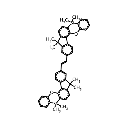 CC1(C)c2cc(/C=C/c3ccc4c(c3)C(C)(C)c3ccc5c(c3-4)Oc3ccccc3[Si]5(C)C)ccc2-c2c1ccc1c2Oc2ccccc2[Si]1(C)C